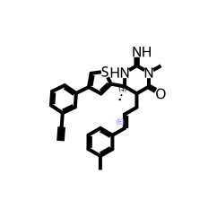 C#Cc1cccc(-c2csc([C@@]3(C)NC(=N)N(C)C(=O)C3C/C=C/c3cccc(C)c3)c2)c1